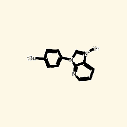 CC(C)[n+]1cn(-c2ccc(C(C)(C)C)cc2)c2ncccc21